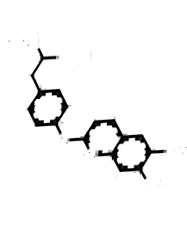 COc1cc2ccc(Nc3ccc(CC(NC(C)=O)C(=O)O)cc3)nc2cc1OC(C)=O